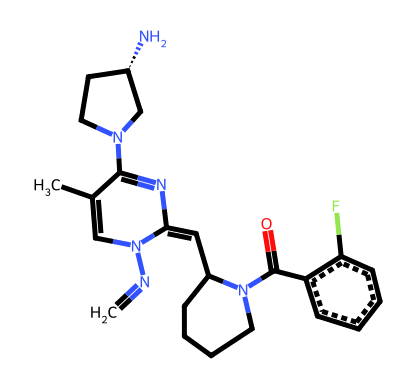 C=NN1C=C(C)C(N2CC[C@H](N)C2)=N/C1=C/C1CCCCN1C(=O)c1ccccc1F